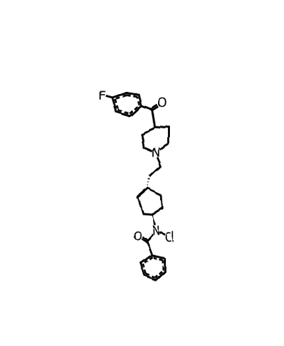 O=C(c1ccc(F)cc1)C1CCN(CC[C@H]2CC[C@H](N(Cl)C(=O)c3ccccc3)CC2)CC1